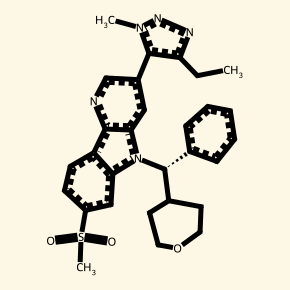 CCc1nnn(C)c1-c1cnc2c3ccc(S(C)(=O)=O)cc3n([C@H](c3ccccc3)C3CCOCC3)c2c1